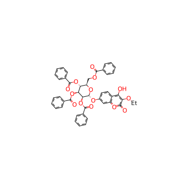 CCOc1c(O)c2ccc(O[C@H]3O[C@H](COC(=O)c4ccccc4)[C@@H](OC(=O)c4ccccc4)[C@H](OC(=O)c4ccccc4)[C@@H]3OC(=O)c3ccccc3)cc2oc1=O